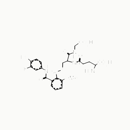 COc1cccc(C(=O)Nc2ccc(C)c(F)c2)c1[Se]SCC(NC(=O)CCC(N)C(=O)O)C(=O)NCC(=O)O